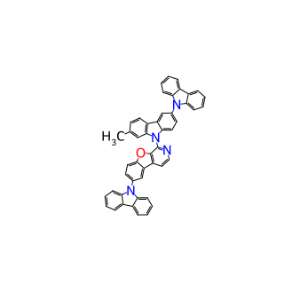 Cc1ccc2c3cc(-n4c5ccccc5c5ccccc54)ccc3n(-c3nccc4c3oc3ccc(-n5c6ccccc6c6ccccc65)cc34)c2c1